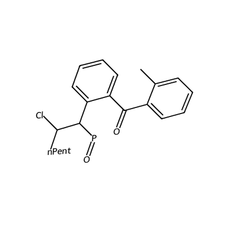 CCCCCC(Cl)C(P=O)c1ccccc1C(=O)c1ccccc1C